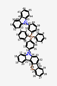 c1ccc(S(c2ccccc2)(c2ccc(-n3c4ccccc4c4c5sc6ccccc6c5ccc43)cc2)c2cccc(-n3c4ccccc4c4ccccc43)c2)cc1